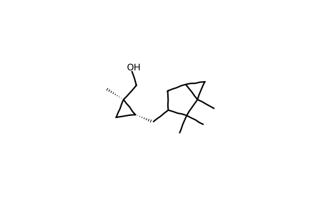 CC1(C)C(C[C@@H]2C[C@@]2(C)CO)CC2CC21C